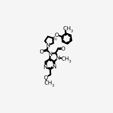 COCc1ncc2c(n1)N(C)C(C=O)N2C(=O)N1CC[C@H](Oc2ccccc2C)C1